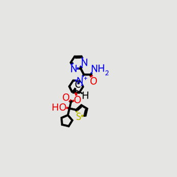 NC(=O)C(c1ncccn1)[N+]12CCC(CC1)[C@@H](OC(=O)C(O)(c1cccs1)C1CCCC1)C2